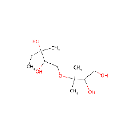 CCC(C)(O)C(O)COC(C)(C)C(O)CO